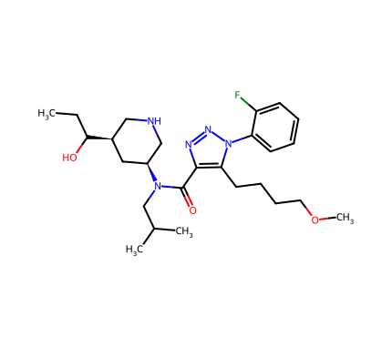 CCC(O)[C@H]1CNC[C@@H](N(CC(C)C)C(=O)c2nnn(-c3ccccc3F)c2CCCCOC)C1